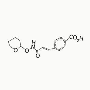 O=C(C=Cc1ccc(C(=O)O)cc1)NOC1CCCCO1